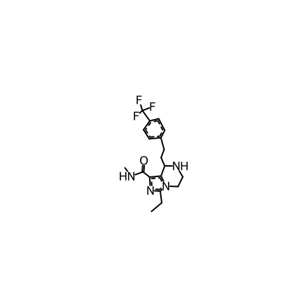 CCc1nc(C(=O)NC)c2n1CCNC2CCc1ccc(C(F)(F)F)cc1